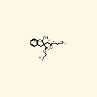 CCOC(=O)CC(Cc1ccccc1)(C(=O)OCC)C(C)C